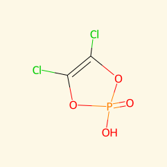 O=P1(O)OC(Cl)=C(Cl)O1